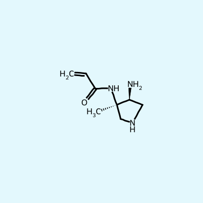 C=CC(=O)N[C@]1(C)CNC[C@@H]1N